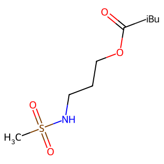 CCC(C)C(=O)OCCCNS(C)(=O)=O